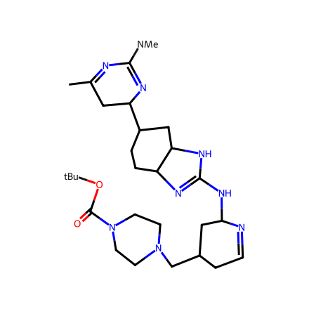 CNC1=NC(C2CCC3N=C(NC4CC(CN5CCN(C(=O)OC(C)(C)C)CC5)CC=N4)NC3C2)CC(C)=N1